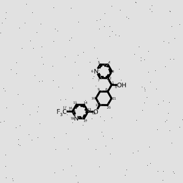 OC(c1cccnc1)C1CCC(Oc2ccc(C(F)(F)F)nc2)CC1